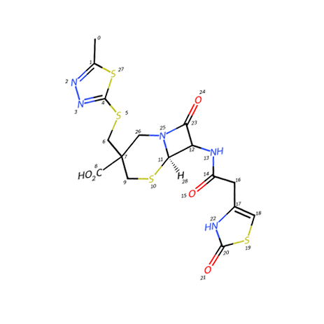 Cc1nnc(SCC2(C(=O)O)CS[C@@H]3C(NC(=O)Cc4csc(=O)[nH]4)C(=O)N3C2)s1